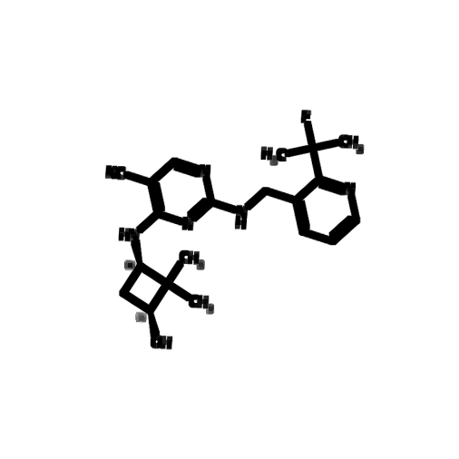 CC(C)(F)c1ncccc1CNc1ncc(C#N)c(N[C@@H]2C[C@H](O)C2(C)C)n1